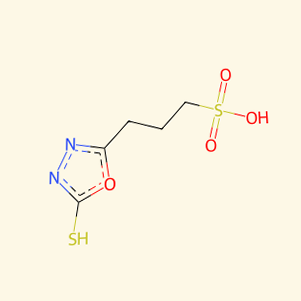 O=S(=O)(O)CCCc1nnc(S)o1